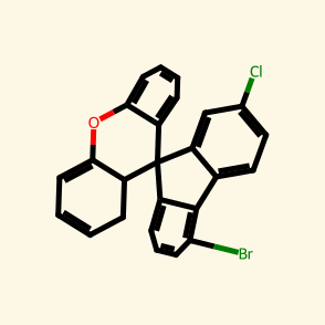 Clc1ccc2c(c1)C1(c3ccccc3OC3=CC=CCC31)c1cccc(Br)c1-2